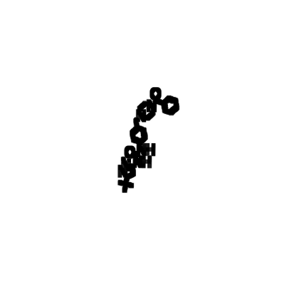 Cn1nc(C(C)(C)C)cc1NC(=O)Nc1ccc(CN2CCN(C(=O)c3ccccc3)CC2)cc1